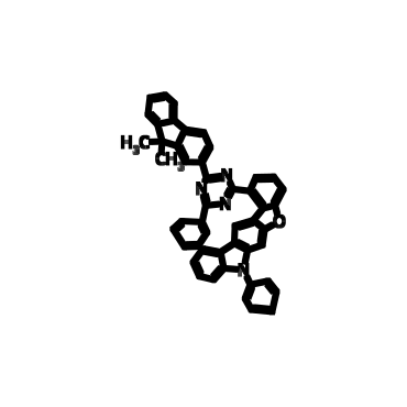 CC1(C)c2ccccc2-c2ccc(-c3nc(-c4ccccc4)nc(-c4cccc5oc6cc7c(cc6c45)c4ccccc4n7-c4ccccc4)n3)cc21